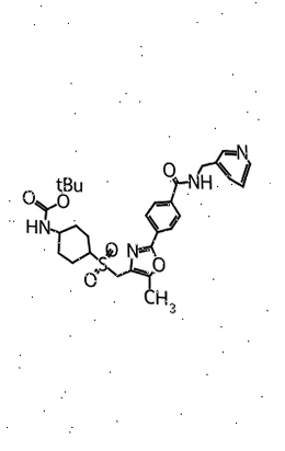 Cc1oc(-c2ccc(C(=O)NCc3cccnc3)cc2)nc1CS(=O)(=O)C1CCC(NC(=O)OC(C)(C)C)CC1